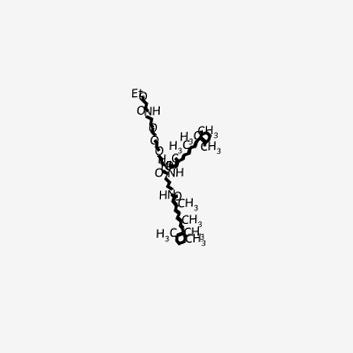 CCOCCC(=O)NCCCOCCOCCOCCCNC(=O)[C@H](CCCCNC(=O)/C=C(C)/C=C/C=C(C)/C=C/C1=C(C)CCCC1(C)C)NC(=O)/C=C(C)/C=C/C=C(C)/C=C/C1=C(C)CCCC1(C)C